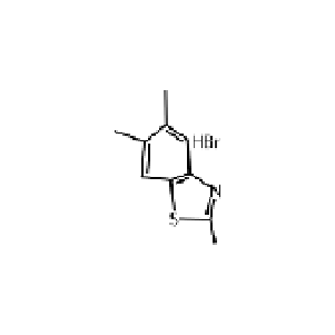 Br.Cc1nc2cc(C)c(C)cc2s1